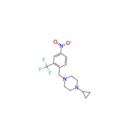 O=[N+]([O-])c1ccc(CN2CCN(C3CC3)CC2)c(C(F)(F)F)c1